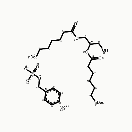 CCCCCCCCCCCCCCCC(=O)OCC(CO)OC(=O)CCCCCCCCCCCCCCC.O=P([O-])([O-])OCc1ccccc1.[Mg+2]